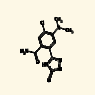 CN(C)c1cc(-c2noc(=O)[nH]2)c(C(N)=O)cc1Cl